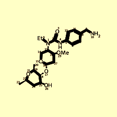 CCN(C(=O)Nc1ccc(CN)cc1)[C@H]1CO[C@@H](O[C@H]2[C@H](C)O[C@H](C)C[C@@H]2O)C[C@@H]1OC